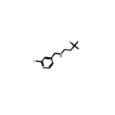 FC(F)(F)CCNCc1ccnc(Br)c1